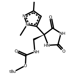 Cc1cc([C@@]2(CNC(=O)OC(C)(C)C)NC(=O)NC2=O)n(C)n1